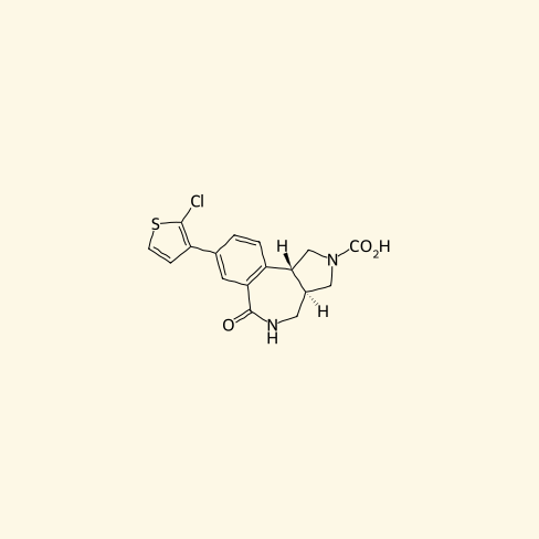 O=C1NC[C@@H]2CN(C(=O)O)C[C@H]2c2ccc(-c3ccsc3Cl)cc21